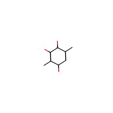 CC1CC(O)C(C)C(O)C1O